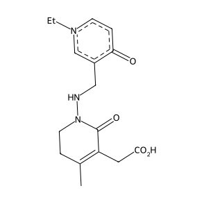 CCn1ccc(=O)c(CNN2CCC(C)=C(CC(=O)O)C2=O)c1